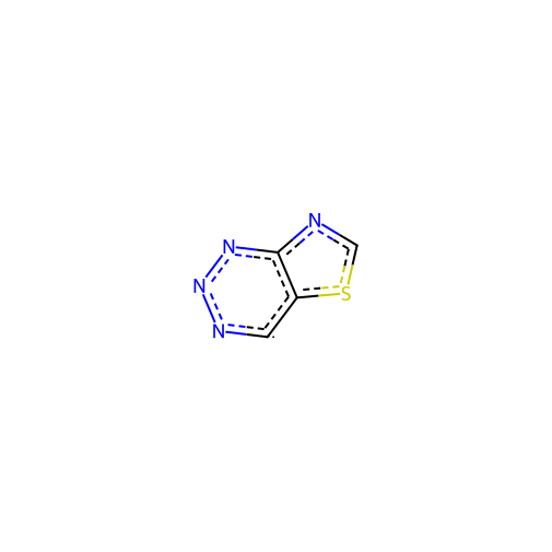 [c]1nnnc2ncsc12